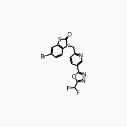 O=c1sc2cc(Br)ccc2n1Cc1ccc(-c2nnc(C(F)F)o2)cn1